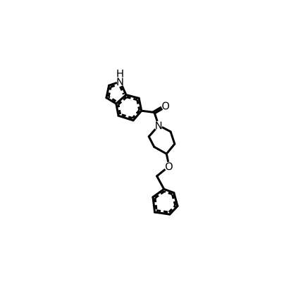 O=C(c1ccc2cc[nH]c2c1)N1CCC(OCc2ccccc2)CC1